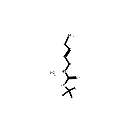 CC(C)(C)OC(=O)NCC=CCN.Cl